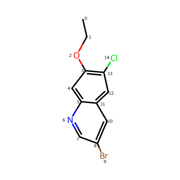 CCOc1cc2ncc(Br)cc2cc1Cl